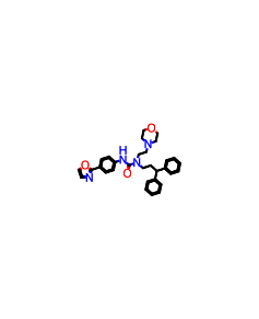 O=C(Nc1ccc(-c2ncco2)cc1)N(CCC(c1ccccc1)c1ccccc1)CCN1CCOCC1